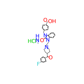 CNC.Cl.O=C(O)c1ccc(Cn2c(=O)n(CCN3CCC(C(=O)c4ccc(F)cc4)CC3)c3ccccc32)cc1